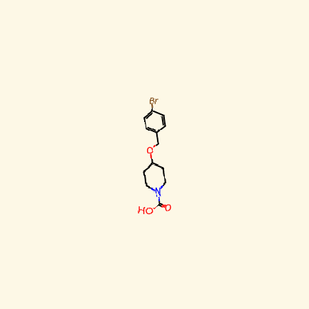 O=C(O)N1CCC(OCc2ccc(Br)cc2)CC1